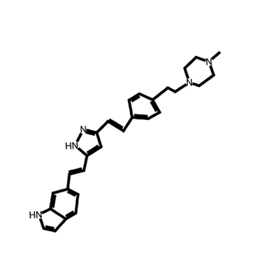 CN1CCN(CCc2ccc(C=Cc3cc(C=Cc4ccc5cc[nH]c5c4)[nH]n3)cc2)CC1